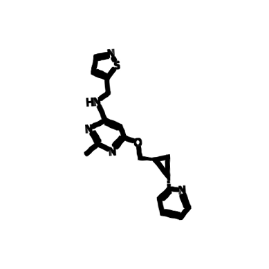 Cc1nc(NCc2ccns2)cc(OC[C@H]2C[C@@H]2c2ccccn2)n1